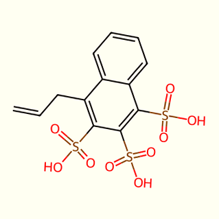 C=CCc1c(S(=O)(=O)O)c(S(=O)(=O)O)c(S(=O)(=O)O)c2ccccc12